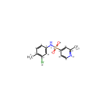 Cc1ccc(NS(=O)(=O)c2ccnc(C(F)(F)F)c2)cc1Br